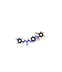 O=C(Nc1ccc(NC(=S)NCCc2ccc(F)cc2)cc1)c1ccccc1Br